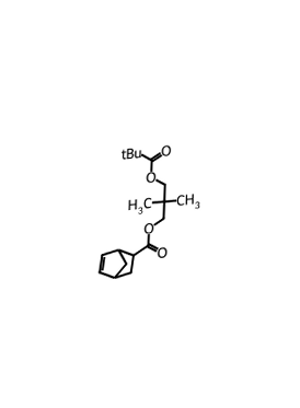 CC(C)(COC(=O)C1CC2C=CC1C2)COC(=O)C(C)(C)C